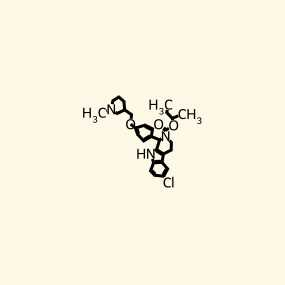 CCC(C)OC(=O)N1CCc2c([nH]c3ccc(Cl)cc23)C1c1ccc(OCC2CCCN(C)C2)cc1